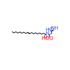 CCCCCCCC/C=C/CCCCCCCC(=O)N[C@@H](Cc1c[nH]cn1)C(=O)O